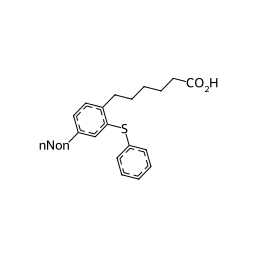 CCCCCCCCCc1ccc(CCCCCC(=O)O)c(Sc2ccccc2)c1